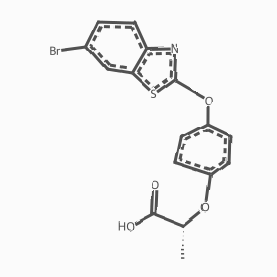 C[C@@H](Oc1ccc(Oc2nc3ccc(Br)cc3s2)cc1)C(=O)O